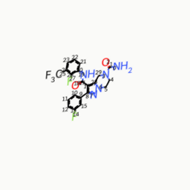 NC(=O)N1CCn2nc(-c3cccc(F)c3)c(C(=O)Nc3cccc(C(F)(F)F)c3F)c2C1